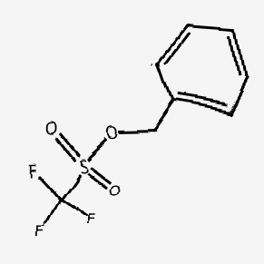 O=S(=O)(OCc1[c]cccc1)C(F)(F)F